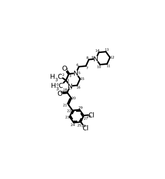 CC1(C)C(=O)N(CCCN2CCCCC2)CCN1C(=O)C=Cc1ccc(Cl)c(Cl)c1